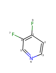 Fc1c[c]ncc1F